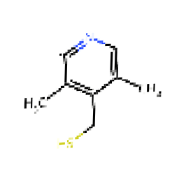 Cc1[c]ncc(C)c1CS